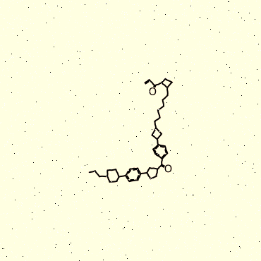 C=CC(=O)C1CCC1CCCCCCC1CC(c2ccc(C(=O)C3CCC(c4ccc(C5CCC(CCC)CC5)cc4)C3)cc2)C1